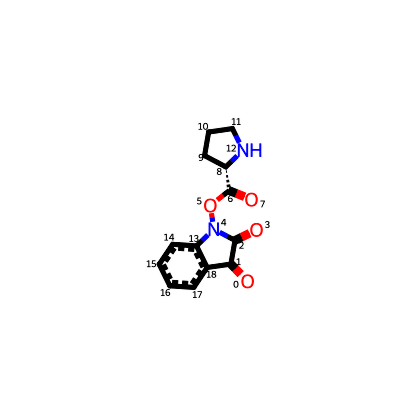 O=C1C(=O)N(OC(=O)[C@@H]2CCCN2)c2ccccc21